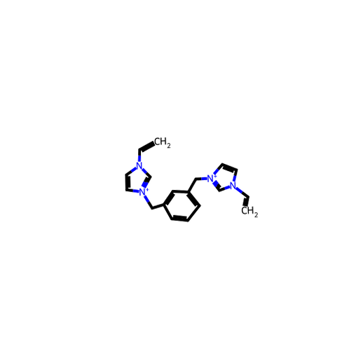 C=Cn1cc[n+](Cc2cccc(C[n+]3ccn(C=C)c3)c2)c1